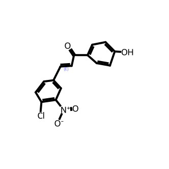 O=C(/C=C/c1ccc(Cl)c([N+](=O)[O-])c1)c1ccc(O)cc1